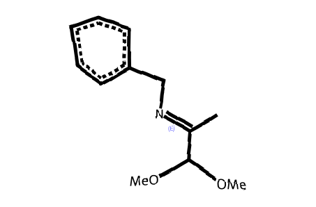 COC(OC)/C(C)=N/Cc1ccccc1